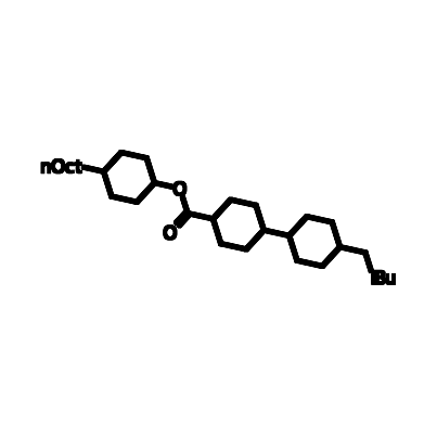 CCCCCCCCC1CCC(OC(=O)C2CCC(C3CCC(CC(C)CC)CC3)CC2)CC1